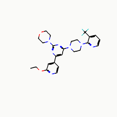 CCOc1cc(-c2cc(N3CCN(c4ncccc4C(F)(F)F)CC3)nc(N3CCOCC3)n2)ccn1